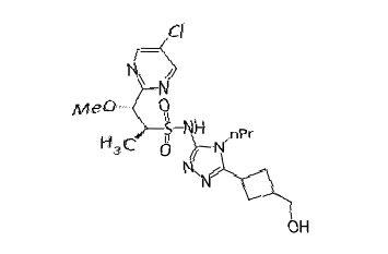 CCCn1c(NS(=O)(=O)[C@@H](C)[C@H](OC)c2ncc(Cl)cn2)nnc1C1CC(CO)C1